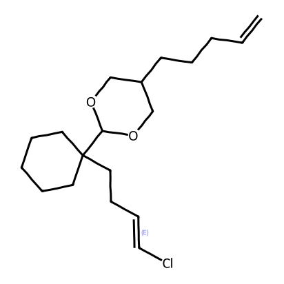 C=CCCCC1COC(C2(CC/C=C/Cl)CCCCC2)OC1